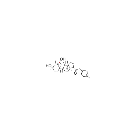 CN1CCN(CC(=O)[C@H]2CC[C@H]3[C@@H]4CC[C@H]5C[C@](C)(O)CC[C@]5(CCO)[C@H]4CC[C@]23C)CC1